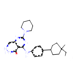 CC1(CC(=O)O)CCC(c2ccc(Nc3nc(N4CCCCC4)nc4cn[nH]c(=O)c34)cc2)CC1